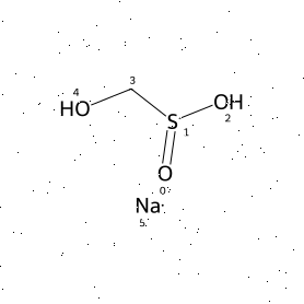 O=S(O)CO.[Na]